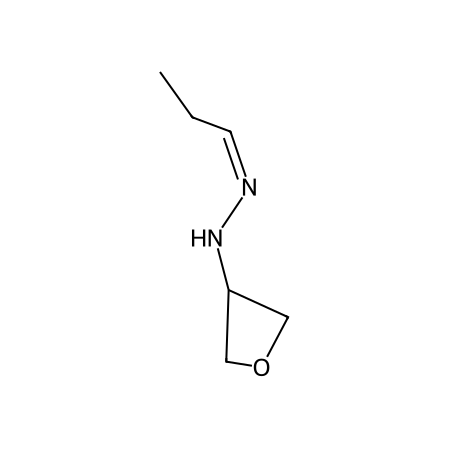 CC/C=N\NC1COC1